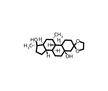 C[C@H]1C[C@H]2[C@@H](CC[C@@]2(C)O)[C@@H]2CC[C@@]3(O)CC4(CC[C@@H]3[C@H]21)OCCO4